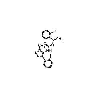 CC(OC(=O)Nc1c(-c2ccccc2F)cnn1C)c1ccccc1Cl